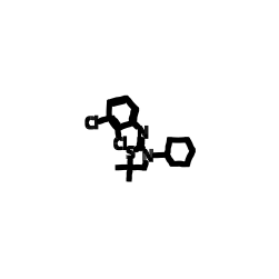 CC1(C)CN(C2CCCCC2)/C(=N/c2cccc(Cl)c2Cl)S1